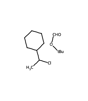 CC(C)(C)OC=O.CC(Cl)C1CCCCC1